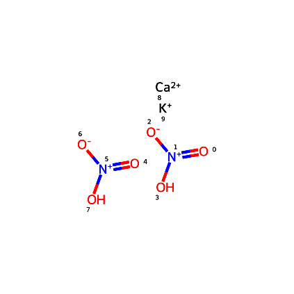 O=[N+]([O-])O.O=[N+]([O-])O.[Ca+2].[K+]